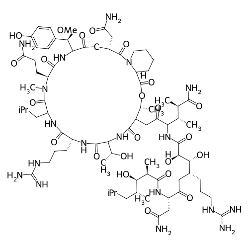 CO[C@H](c1ccc(O)cc1)C1NC(=O)[C@H](CCC(N)=O)N(C)C(=O)C(CC(C)C)NC(=O)[C@@H](CCCNC(=N)N)NC(=O)C([C@@H](C)O)NC(=O)C(CC(=O)C(NC(=O)[C@H](O)[C@H](O)[C@H](CCCNC(=N)N)CC(=O)[C@H](CC(N)=O)NC(=O)[C@H](C)[C@H](O)[C@H](C)CC(C)C)[C@@H](C)[C@@H](C)C(N)=O)[C@@H](C)OC(=O)[C@@H]2CCCCN2C(=O)[C@@H](CC(N)=O)CC1=O